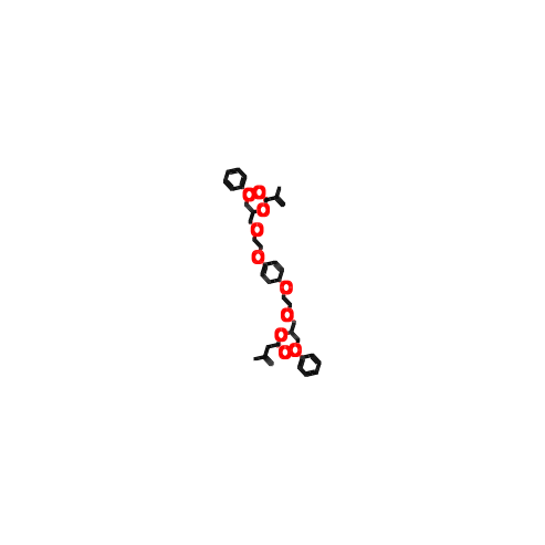 C=C(C)CC(=O)OC(COCCOC1C=CC(OCCOCC(COc2ccccc2)OC(=O)C(=C)C)=CC1)COc1ccccc1